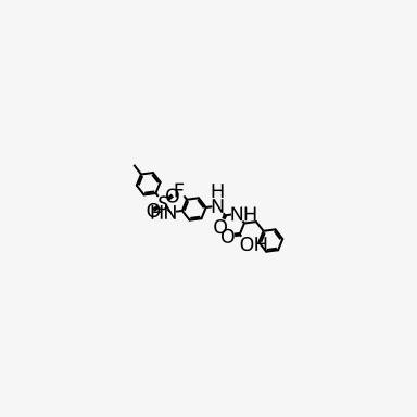 Cc1ccc(S(=O)(=O)Nc2ccc(NC(=O)NC(Cc3ccccc3)C(=O)O)cc2F)cc1